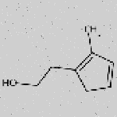 CC1=C(CCO)CC=C1